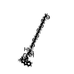 CNN(C)Cc1cc2ccccc2n1CCC(=O)NCC(=O)NCCOCCOCCOCCOCCOCCOCCC(C)=O